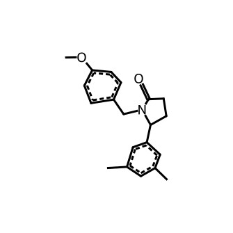 COc1ccc(CN2C(=O)CCC2c2cc(C)cc(C)c2)cc1